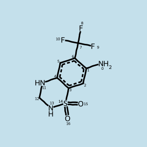 Nc1cc2c(cc1C(F)(F)F)NCNS2(=O)=O